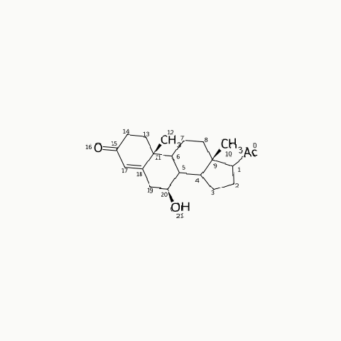 CC(=O)C1CCC2C3C(CC[C@]12C)[C@@]1(C)CCC(=O)C=C1C[C@@H]3O